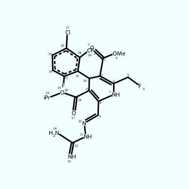 COC(=O)C1=C(CF)NC(C=NNC(=N)N)=C(C(=O)OC(C)C)C1c1c(F)ccc(Cl)c1C(F)(F)F